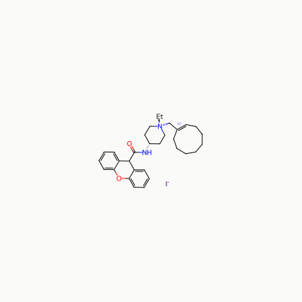 CC[N@+]1(C/C2=C/CCCCCCC2)CC[C@@H](NC(=O)C2c3ccccc3Oc3ccccc32)CC1.[I-]